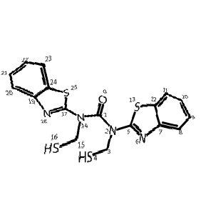 O=C(N(CS)c1nc2ccccc2s1)N(CS)c1nc2ccccc2s1